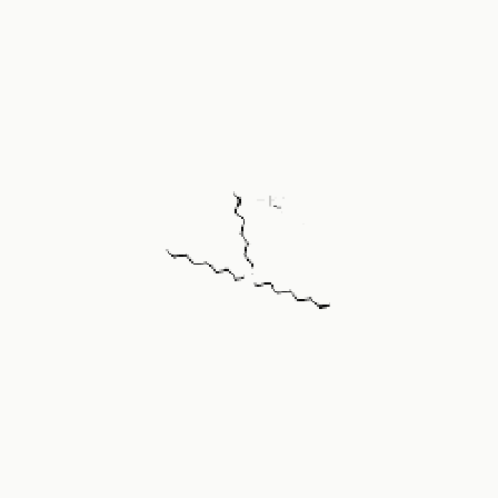 Br.CCCCCCCCP(CCCCCCCC)CCCCCCCC.CP